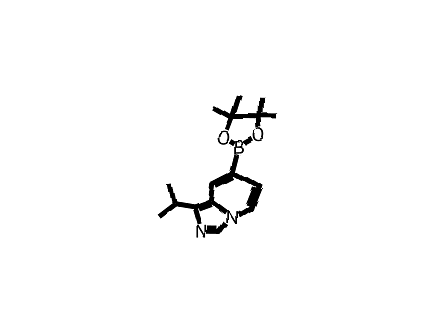 CC(C)c1ncn2ccc(B3OC(C)(C)C(C)(C)O3)cc12